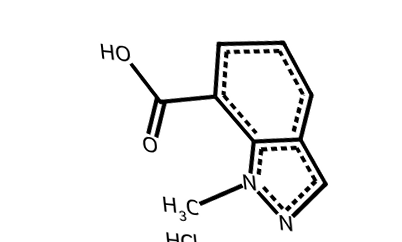 Cl.Cn1ncc2cccc(C(=O)O)c21